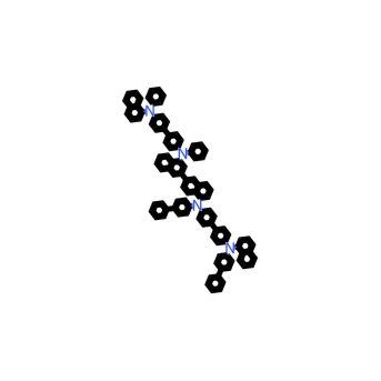 c1ccc(-c2ccc(N(c3ccc(-c4ccc(N(c5ccc(-c6ccccc6)cc5)c5cccc6cc(-c7cc(N(c8ccccc8)c8ccc(-c9ccc(N(c%10ccccc%10)c%10cccc%11ccccc%10%11)cc9)cc8)c8ccccc8c7)ccc56)cc4)cc3)c3cccc4ccccc34)cc2)cc1